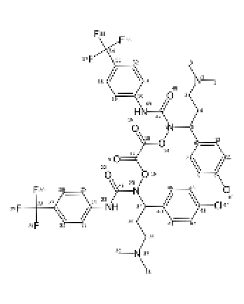 CN(C)CCC(c1ccc(Cl)cc1)N(OC(=O)C(=O)ON(C(=O)Nc1ccc(C(F)(F)F)cc1)C(CCN(C)C)c1ccc(Cl)cc1)C(=O)Nc1ccc(C(F)(F)F)cc1